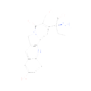 CC[C@@]1(N)C(=O)OCc2c1cc1n(c2=O)Cc2cc3cc(O)ccc3nc2-1